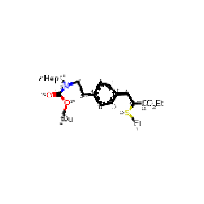 CCCCCCCN(CCc1ccc(CC(SCC)C(=O)OCC)cc1)C(=O)OC(C)(C)C